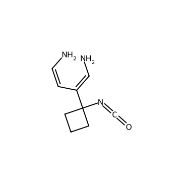 N/C=C\C(=C/N)C1(N=C=O)CCC1